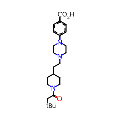 CC(C)(C)CC(=O)N1CCC(CCN2CCN(c3ccc(C(=O)O)cc3)CC2)CC1